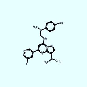 CC(C)c1cnn2c(NC[C@@H](C)c3ccc(O)cc3)cc(-c3cncc(F)c3)nc12